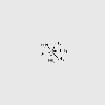 [NH2][Cr]([NH2])([NH2])([NH2])([NH2])[NH2]